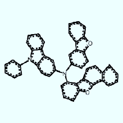 c1ccc(-n2c3ccccc3c3cc(N(c4ccc5oc6ccccc6c5c4)c4cccc5oc6c7ccccc7ccc6c45)ccc32)cc1